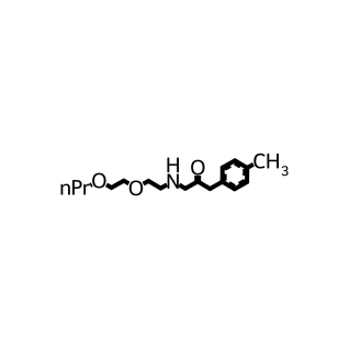 CCCOCCOCCNCC(=O)Cc1ccc(C)cc1